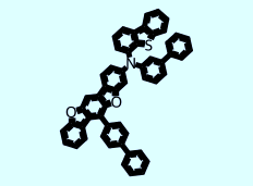 c1ccc(-c2ccc(-c3c4oc5cc(N(c6cccc(-c7ccccc7)c6)c6cccc7c6sc6ccccc67)ccc5c4cc4oc5ccccc5c34)cc2)cc1